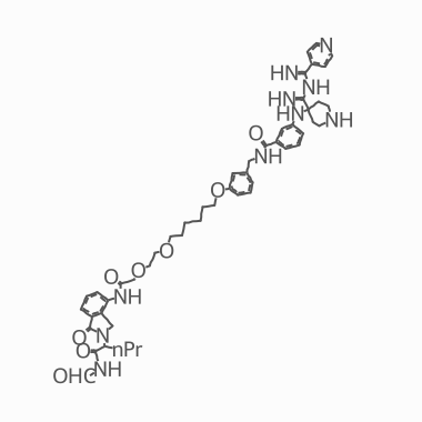 CCCC(C(=O)NC=O)N1Cc2c(NC(=O)COCCOCCCCCCOc3cccc(CNC(=O)c4cccc(NC5(C(=N)NC(=N)c6ccncc6)CCNCC5)c4)c3)cccc2C1=O